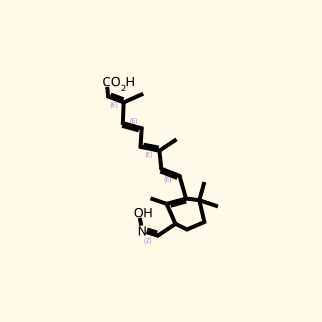 CC1=C(/C=C/C(C)=C/C=C/C(C)=C/C(=O)O)C(C)(C)CCC1/C=N\O